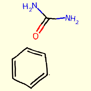 NC(N)=O.[c]1ccccc1